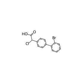 O=C(O)C(Cl)c1ccc(-c2ccccc2Br)cc1